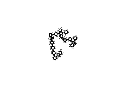 c1ccc(-c2c3ccccc3c(-c3ccc(-c4cccc5oc(-c6ccc(-c7ccc(-c8ccc9c%10ccccc%10c%10nc%11ccccc%11n%10c9c8)cc7)cc6)nc45)cc3)c3ccc(-c4cccc(-c5ccc6c7ccccc7c7nc8ccccc8n7c6c5)c4)cc23)cc1